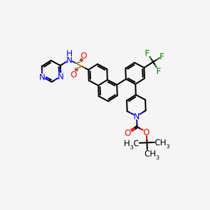 CC(C)(C)OC(=O)N1CC=C(c2cc(C(F)(F)F)ccc2-c2cccc3cc(S(=O)(=O)Nc4ccncn4)ccc23)CC1